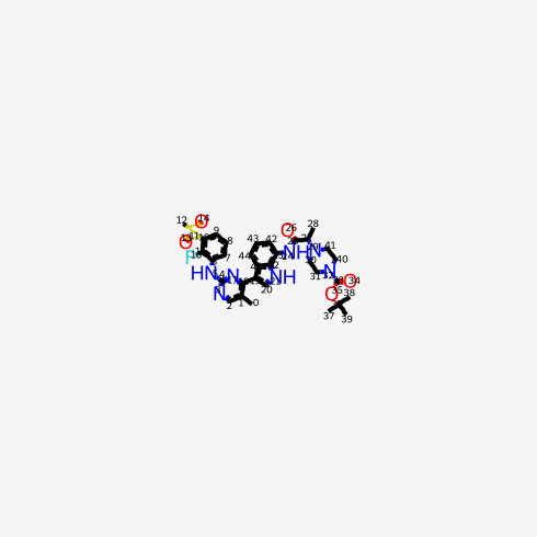 Cc1cnc(Nc2cccc(S(C)(=O)=O)c2F)nc1-c1c[nH]c2c(NC(=O)C(C)N3CCN(C(=O)OC(C)(C)C)CC3)cccc12